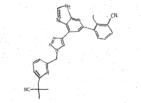 Cc1c(C#N)cccc1-c1cc(-c2cn(Cc3cccc(C(C)(C)C#N)n3)nn2)c2nc[nH]c2n1